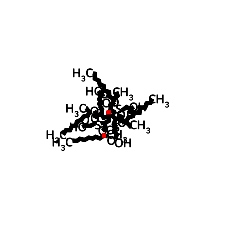 CCCCCCCCCC(CC)OC(=O)C(CSCCC(=O)O)CC(CC(CSCCC(=O)O)C(=O)OC(CC)CCCCCCCCC)(CC(CSCCC(=O)O)C(=O)OC(CC)CCCCCCCCC)CC(CSCCC(=O)O)C(=O)OC(CC)CCCCCCCCC